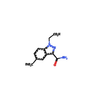 CCOC(=O)c1ccc2c(c1)c(C(N)=O)nn2CC(=O)O